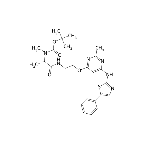 Cc1nc(Nc2ncc(-c3ccccc3)s2)cc(OCCNC(=O)[C@H](C)N(C)C(=O)OC(C)(C)C)n1